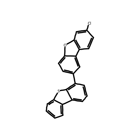 Clc1ccc2c(c1)oc1ccc(-c3cccc4c3sc3ccccc34)cc12